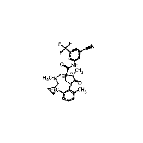 Cc1cccc(C)c1N1C[C@@](CN(C)CC2CC2)(C(=O)Nc2cc(C#N)cc(C(F)(F)F)c2)[C@H](C)C1=O